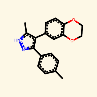 Cc1ccc(-c2n[nH]c(C)c2-c2ccc3c(c2)OCCO3)cc1